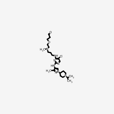 Cc1nn(C2CCN(C(C)C)CC2)cc1Nc1ncc(Cl)c(NCCCN(C)CCOCCC=O)n1